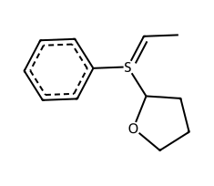 CC=S(c1ccccc1)C1CCCO1